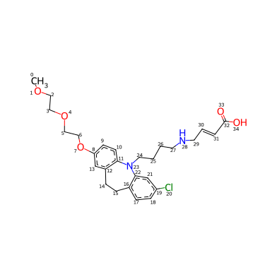 COCCOCCOc1ccc2c(c1)CCc1ccc(Cl)cc1N2CCCCNC/C=C/C(=O)O